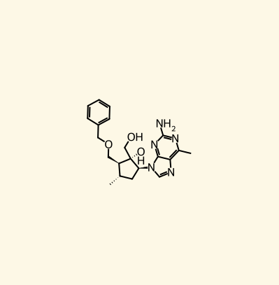 Cc1nc(N)nc2c1ncn2[C@H]1C[C@H](C)[C@@H](COCc2ccccc2)[C@@]1(O)CO